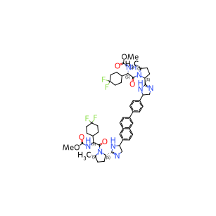 COC(=O)N[C@H](C(=O)N1[C@@H](C)CC[C@H]1C1=NCC(c2ccc(-c3ccc4cc(C5CN=C([C@@H]6CC[C@H](C)N6C(=O)[C@@H](NC(=O)OC)C6CCC(F)(F)CC6)N5)ccc4c3)cc2)N1)C1CCC(F)(F)CC1